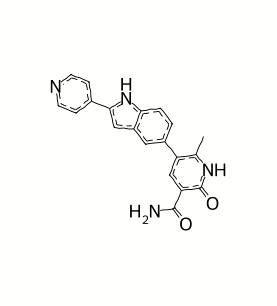 Cc1[nH]c(=O)c(C(N)=O)cc1-c1ccc2[nH]c(-c3ccncc3)cc2c1